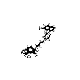 O=C1N=Cc2ccc(OCCCCN3CCN(c4cccc5ccc(F)cc45)CC3)c(F)c21